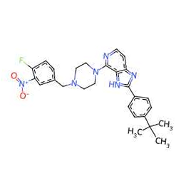 CC(C)(C)c1ccc(-c2nc3ccnc(N4CCN(Cc5ccc(F)c([N+](=O)[O-])c5)CC4)c3[nH]2)cc1